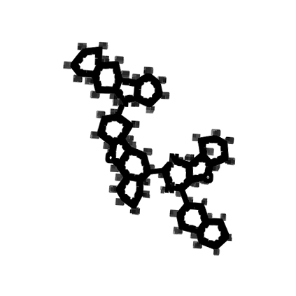 c1ccc2cc(-c3nc(-c4cc5c6cc(-n7c8ccccc8c8cc9ccccc9cc87)ccc6oc5c5ccccc45)nc4c3oc3ccccc34)ccc2c1